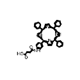 O=C(O)CCC(=O)Nc1ccc(-c2c3nc(c(-c4ccccc4)c4ccc([nH]4)c(-c4ccccc4)c4nc(c(-c5ccccc5)c5ccc2[nH]5)C=C4)C=C3)cc1